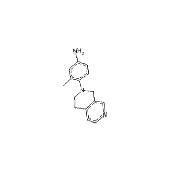 Cc1cc(N)ccc1N1CCc2ccncc2C1